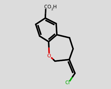 O=C(O)c1ccc2c(c1)CCC(=CCl)CO2